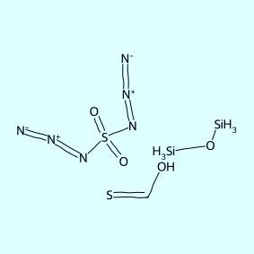 OC=S.[N-]=[N+]=NS(=O)(=O)N=[N+]=[N-].[SiH3]O[SiH3]